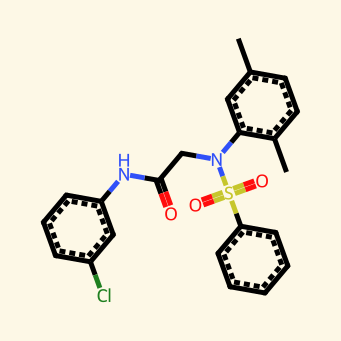 Cc1ccc(C)c(N(CC(=O)Nc2cccc(Cl)c2)S(=O)(=O)c2ccccc2)c1